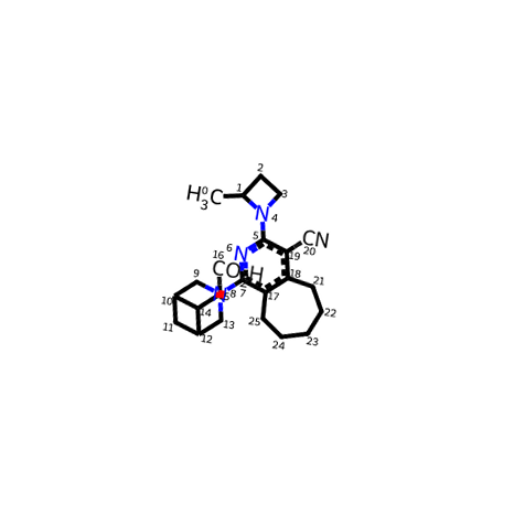 CC1CCN1c1nc(N2CC3CC(C2)C3CC(=O)O)c2c(c1C#N)CCCCC2